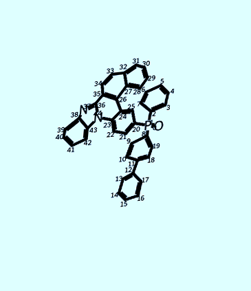 O=P(c1ccccc1)(c1ccc(-c2ccccc2)cc1)c1ccc2c(c1)c1c3ccccc3ccc1c1nc3ccccc3n21